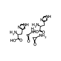 NC1CC1=O.NC1CC1=O.N[C@@H](Cc1c[nH]cn1)C(=O)O.N[C@@H](Cc1c[nH]cn1)C(=O)O